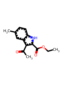 CCOC(=O)c1[nH]c2ccc(C)cc2c1C(C)=O